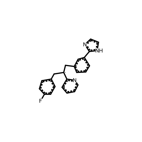 Fc1ccc(C[C](Cc2cccc(-c3ncc[nH]3)c2)c2ccccn2)cc1